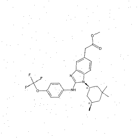 COC(=O)Cc1ccc2c(c1)nc(Nc1ccc(OC(F)(F)F)cc1)n2[C@@H]1C[C@H](C)CC(C)(C)C1